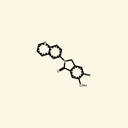 COc1cc2c(cc1F)CN(c1ccc3ncccc3c1)C2=O